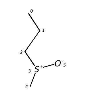 CCC[S+](C)[O-]